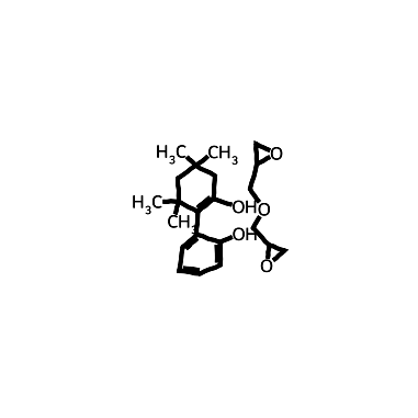 C(OCC1CO1)C1CO1.CC1(C)CC(O)=C(c2ccccc2O)C(C)(C)C1